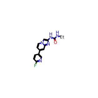 CCNC(=O)Nc1cn2ccc(-c3ccc(F)nc3)cc2n1